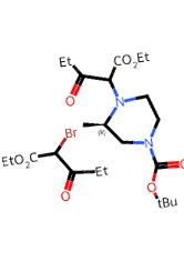 CCOC(=O)C(Br)C(=O)CC.CCOC(=O)C(C(=O)CC)N1CCN(C(=O)OC(C)(C)C)C[C@H]1C